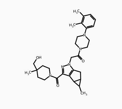 Cc1cccc(N2CCN(C(=O)Cn3nc(C(=O)N4CCC(C)(CO)CC4)c4c3CC3C(C)C43)CC2)c1C